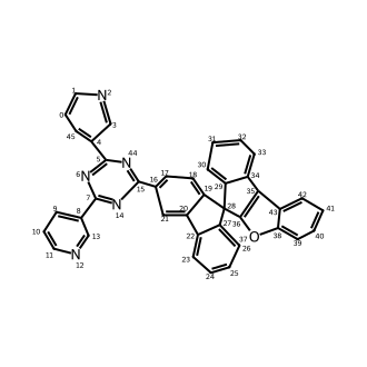 c1cncc(-c2nc(-c3cccnc3)nc(-c3ccc4c(c3)-c3ccccc3C43c4ccccc4-c4c3oc3ccccc43)n2)c1